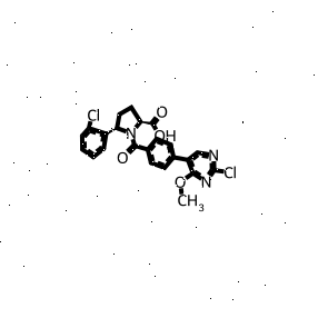 COc1nc(Cl)ncc1-c1ccc(C(=O)N2[C@@H](c3ccccc3Cl)CC[C@H]2C(=O)O)cc1